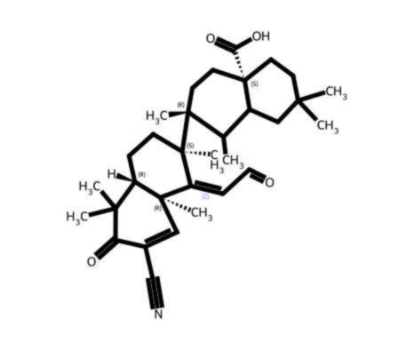 CC1C2CC(C)(C)CC[C@]2(C(=O)O)CC[C@@]1(C)[C@]1(C)CC[C@H]2C(C)(C)C(=O)C(C#N)=C[C@]2(C)/C1=C/C=O